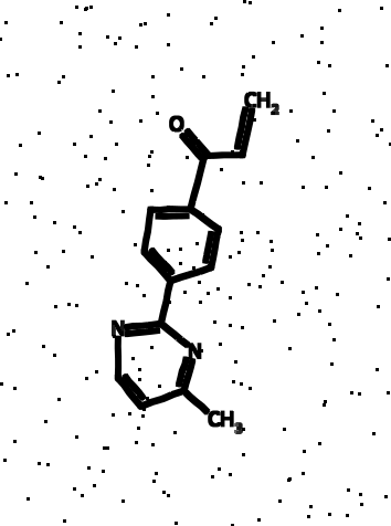 C=CC(=O)c1ccc(-c2nccc(C)n2)cc1